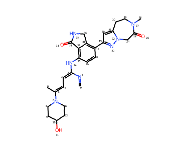 C=N/C(=C\C=C(/C)N1CCC(O)CC1)Nc1ccc(-c2cc3n(n2)CC(=O)N(C)CC3)c2c1C(=O)NC2